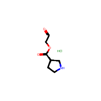 Cl.O=CCOC(=O)C1CCNC1